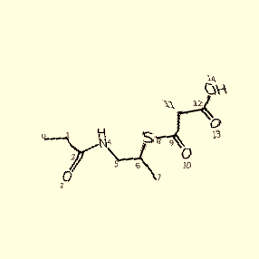 CCC(=O)NCC(C)SC(=O)CC(=O)O